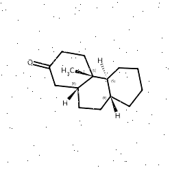 C[C@]12CCC(=O)C[C@H]1CC[C@H]1CCCC[C@@H]12